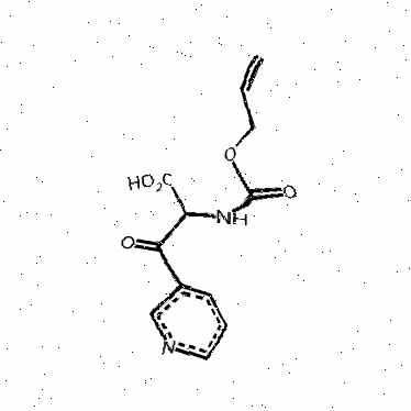 C=CCOC(=O)NC(C(=O)O)C(=O)c1cccnc1